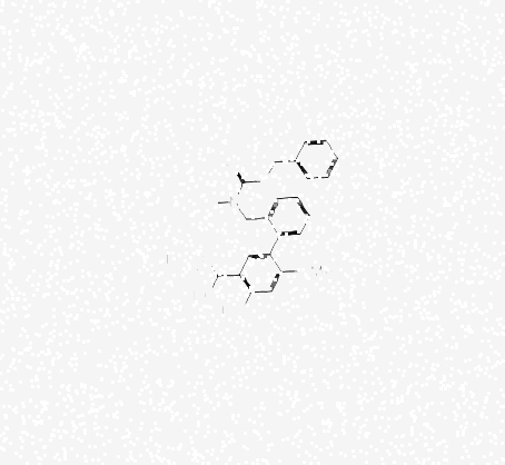 CCOC(=O)C(C)c1cc(-c2ccccc2CN(CC)C(=O)OCc2ccccc2)c(OC)cc1C(F)(F)F